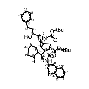 CC(C)(C)OC(=O)N[C@@]1(NC(=O)[C@H](O)CCc2ccccc2)CN(C(=O)OC(C)(C)C)[C@@](C(=O)Nc2cnc3ccccc3c2)(C(=O)C2CCCCN2)C1